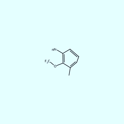 CCCc1cccc(C)c1OC(F)(F)F